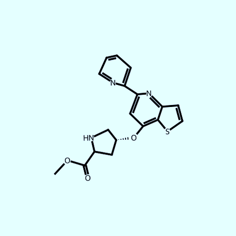 COC(=O)C1C[C@@H](Oc2cc(-c3ccccn3)nc3ccsc23)CN1